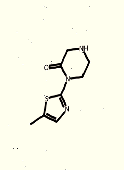 Cc1cnc(N2CCNCC2=O)s1